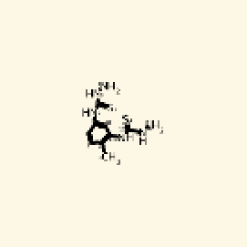 Cc1ccc(NC(=S)NN)cc1NC(=S)NN